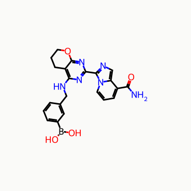 NC(=O)c1cccn2c(-c3nc(NCc4cccc(B(O)O)c4)c4c(n3)OCCC4)ncc12